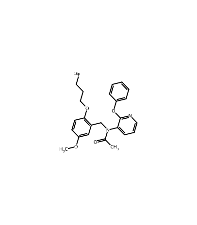 COc1ccc(OCCC[18F])c(CN(C(C)=O)c2cccnc2Oc2ccccc2)c1